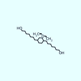 C=COC=C.OCCCCCCCC1CCC(CCCCCCCO)CC1